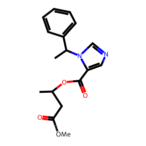 COC(=O)CC(C)OC(=O)c1cncn1C(C)c1ccccc1